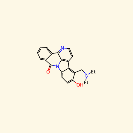 CCN(CC)Cc1c(O)ccc2c1c1ccnc3c4ccccc4c(=O)n2c13